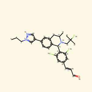 CCCn1cc(-c2ccc3c(c2)CC(C)N(CC(C)(C)F)C3c2c(F)cc(/C=C/C=O)cc2F)cn1